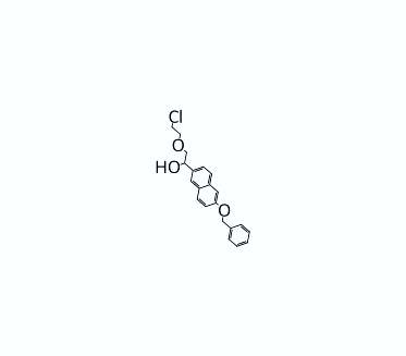 OC(COCCCl)c1ccc2cc(OCc3ccccc3)ccc2c1